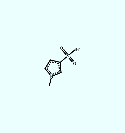 CC(C)S(=O)(=O)c1ccn(C)c1